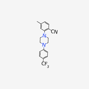 Cc1ccc(C#N)c(N2CCN(c3ccc(C(F)(F)F)cc3)CC2)c1